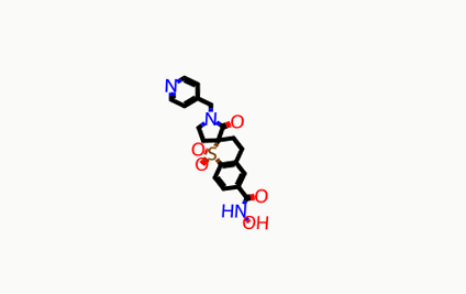 O=C(NO)c1ccc2c(c1)CCC1(CCN(Cc3ccncc3)C1=O)S2(=O)=O